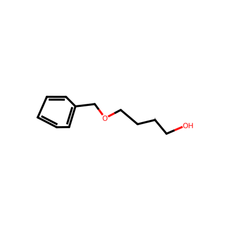 OC[CH]CCOCc1ccccc1